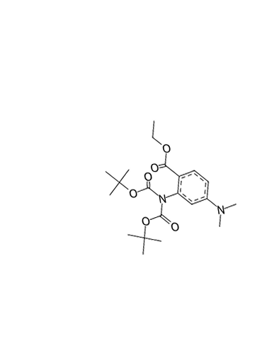 CCOC(=O)c1ccc(N(C)C)cc1N(C(=O)OC(C)(C)C)C(=O)OC(C)(C)C